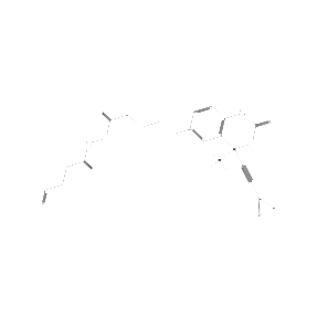 O=CCCC(=O)NOC(=O)CCCOc1ccc2c(c1)C(C#CC1CC1)(C(F)(F)F)OC(=O)N2